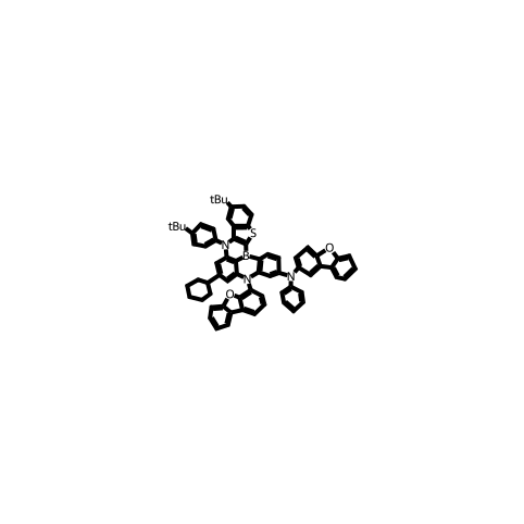 CC(C)(C)c1ccc(N2c3cc(C4CCCCC4)cc4c3B(c3ccc(N(c5ccccc5)c5ccc6oc7ccccc7c6c5)cc3N4c3cccc4c3oc3ccccc34)c3sc4ccc(C(C)(C)C)cc4c32)cc1